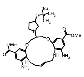 COC(=O)c1cc(N)c2c(c1)OCC(N1CCC(O[Si](C)(C)C(C)(C)C)C1)COc1cc(C(=O)OC)cc(N)c1NC/C=C/CN2